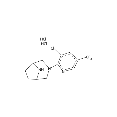 Cl.Cl.FC(F)(F)c1cnc(N2CC3CCC(C2)N3)c(Cl)c1